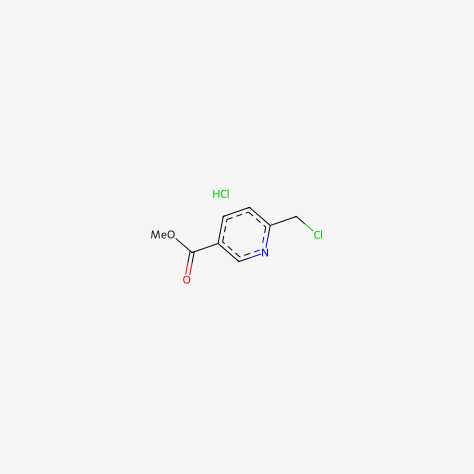 COC(=O)c1ccc(CCl)nc1.Cl